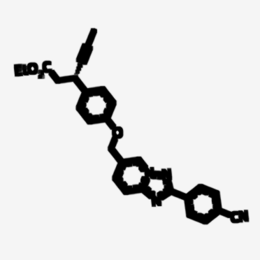 CC#C[C@@H](CC(=O)OCC)c1ccc(OCc2ccc3nc(-c4ccc(C#N)cc4)nn3c2)cc1